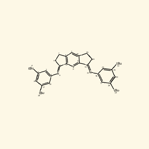 CC(C)(C)c1cc(N=C2CCc3cc4c(nc32)C(=Nc2cc(C(C)(C)C)cc(C(C)(C)C)c2)CC4)cc(C(C)(C)C)c1